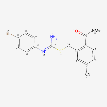 CNC(=O)c1ccc(C#N)cc1CS/C(N)=N/c1ccc(Br)cc1